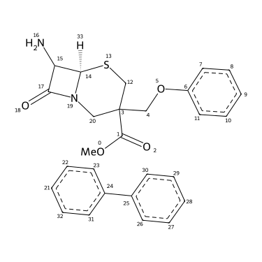 COC(=O)C1(COc2ccccc2)CS[C@@H]2C(N)C(=O)N2C1.c1ccc(-c2ccccc2)cc1